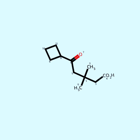 CC(C)(CC(=O)O)CC(=O)C1CCC1